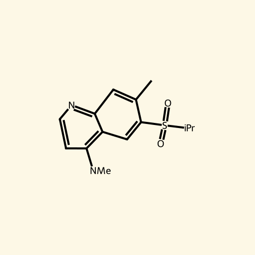 CNc1ccnc2cc(C)c(S(=O)(=O)C(C)C)cc12